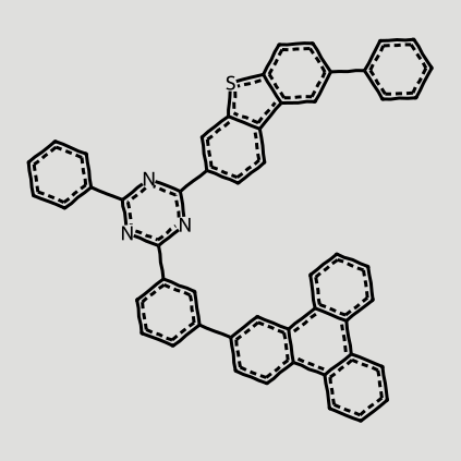 c1ccc(-c2ccc3sc4cc(-c5nc(-c6ccccc6)nc(-c6cccc(-c7ccc8c9ccccc9c9ccccc9c8c7)c6)n5)ccc4c3c2)cc1